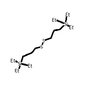 CC[Si](CC)(CC)CCCSSCCC[Si](CC)(CC)CC